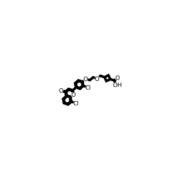 O=C(O)C1CC(COCCOc2ccc(-c3cc(=O)c4cccc(Cl)c4o3)cc2Cl)C1